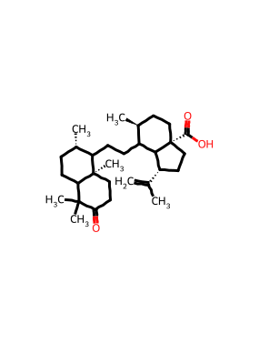 C=C(C)[C@H]1CC[C@]2(C(=O)O)CC[C@H](C)C(CCC3[C@@H](C)CCC4C(C)(C)C(=O)CC[C@]34C)C12